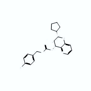 C[C@H]1[C@H](NC(=O)OCc2ccc(Br)cc2)c2ncccc2N[C@@H]1C1CCCC1